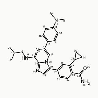 CC(C)CNc1nc(-c2ccc(N(C)C)cc2)cn2c(-c3ccc(C(N)=O)c(C4CC4)c3)cnc12